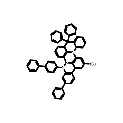 CC(C)(C)c1cc2c3c(c1)N1c4ccccc4C(c4ccccc4)(c4ccccc4)c4cccc(c41)B3N(c1ccc(-c3ccccc3)cc1)c1cc(-c3ccccc3)ccc1-2